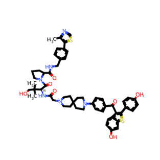 Cc1ncsc1-c1ccc(CNC(=O)C2CCCN2C(=O)[C@@H](NC(=O)CN2CCC3(CC2)CCN(c2ccc(C(=O)c4c(-c5ccc(O)cc5)sc5cc(O)ccc45)cc2)CC3)C(C)(C)CO)cc1